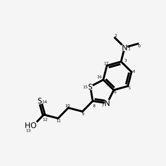 CN(C)c1ccc2nc(CCCC(O)=S)sc2c1